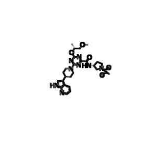 COC[C@@H](C)Oc1nc(C(=O)N[C@@H]2CCN(S(C)(=O)=O)C2)nc(N2CCC(c3c[nH]c4ncccc34)CC2)n1